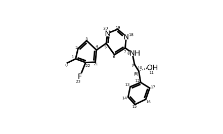 Cc1ccc(-c2cc(NC[C@H](O)c3ccccc3)ncn2)cc1F